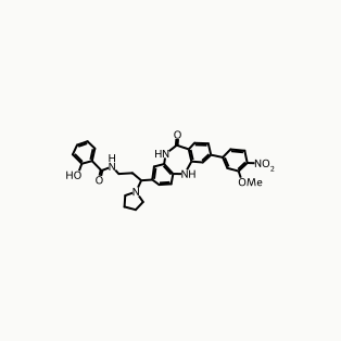 COc1cc(-c2ccc3c(c2)Nc2ccc(C(CCNC(=O)c4ccccc4O)N4CCCC4)cc2NC3=O)ccc1[N+](=O)[O-]